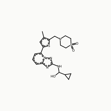 Cc1cc(-c2cccc3nc(NC(O)C4CC4)nn23)sc1CN1CCS(=O)(=O)CC1